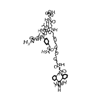 CC(S)C(=O)OCc1ccc(NC(=O)[C@H](CCCNC(N)=O)NC(=O)[C@@H](NC(=O)[C@@H](CCC(=O)NCCS(=O)(=O)O)NC(=O)CCOCCOCCOCCOCCNC(=O)CCC(=O)N2Cc3ccccc3C3=C(NNN3C(C)C)c3ccccc32)C(C)C)cc1